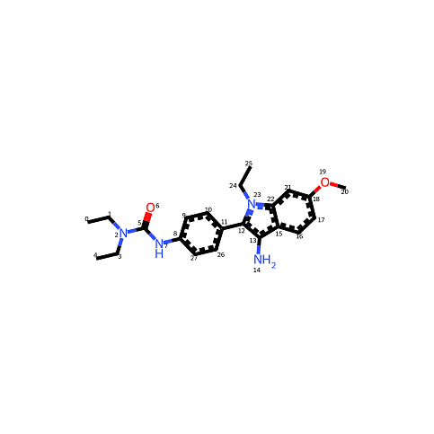 CCN(CC)C(=O)Nc1ccc(-c2c(N)c3ccc(OC)cc3n2CC)cc1